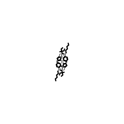 CCCCCCN(C(=O)C(C)(CC)CC)c1ccc(F)[c]([Ti]([C]2=CC=CC2)([C]2=CC=CC2)[c]2c(F)ccc(N(CCCCCC)C(=O)C(C)(CC)CC)c2F)c1F